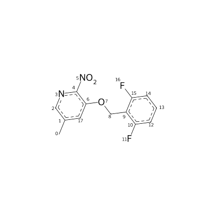 Cc1cnc([N+](=O)[O-])c(OCc2c(F)cccc2F)c1